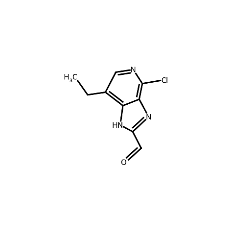 CCc1cnc(Cl)c2nc(C=O)[nH]c12